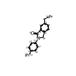 CC(C)Cc1ccc2c(c1)C(=O)N(c1ccc(C(C)C)cc1)C2